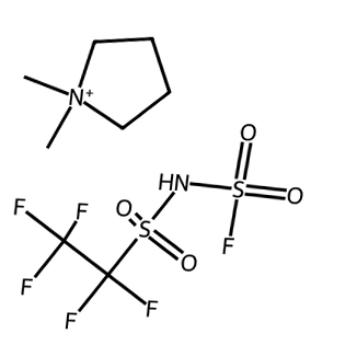 C[N+]1(C)CCCC1.O=S(=O)(F)NS(=O)(=O)C(F)(F)C(F)(F)F